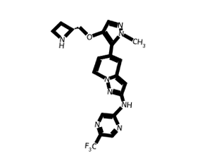 Cn1ncc(OC[C@H]2CCN2)c1-c1ccn2nc(Nc3cnc(C(F)(F)F)cn3)cc2c1